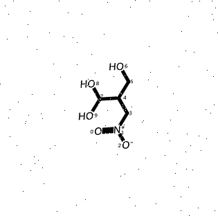 O=[N+]([O-])CC(CO)C(O)O